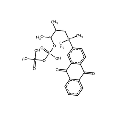 CC(C[N+](C)(C)c1ccc2c(c1)C(=O)c1ccccc1C2=O)N(C)OP(=O)(O)OP(=O)(O)O